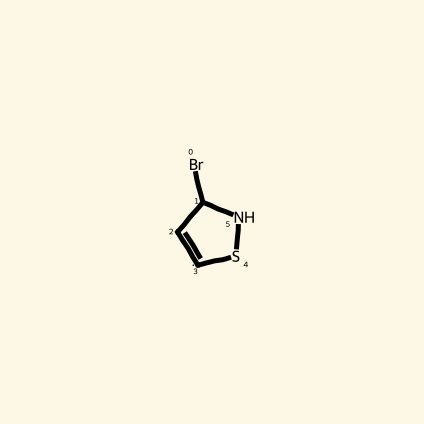 BrC1C=[C]SN1